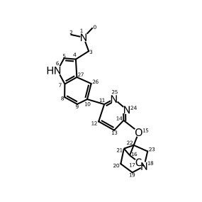 CN(C)Cc1c[nH]c2ccc(-c3ccc(OC4CN5CCC4CC5)nn3)cc12